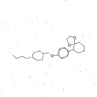 CCCCC1CCC(COc2ccc(C3CCCCC34OCCO4)cc2)CC1